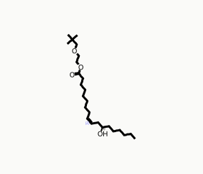 CCCCCC[C@@H](O)C/C=C\CCCCCCCC(=O)OCCOCC(C)(C)C